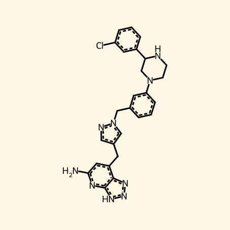 Nc1cc(Cc2cnn(Cc3cccc(N4CCNC(c5cccc(Cl)c5)C4)c3)c2)c2nn[nH]c2n1